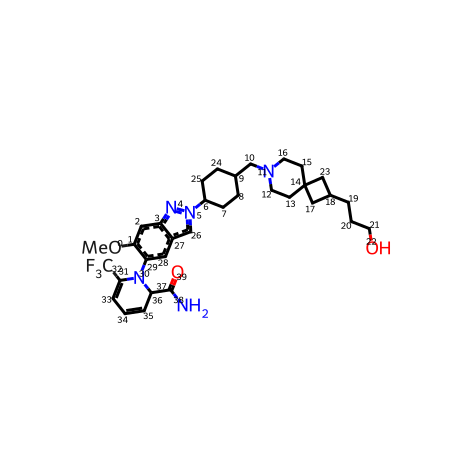 COc1cc2nn(C3CCC(CN4CCC5(CC4)CC(CCCO)C5)CC3)cc2cc1N1C(C(F)(F)F)=CC=CC1C(N)=O